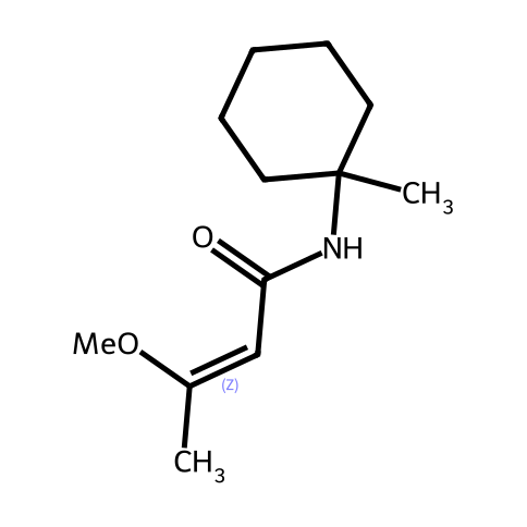 CO/C(C)=C\C(=O)NC1(C)CCCCC1